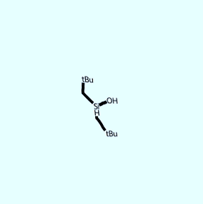 CC(C)(C)C[SiH](O)CC(C)(C)C